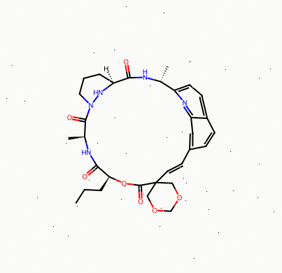 CCC[C@@H]1OC(=O)C2(/C=C/c3ccc4ccc(nc4c3)[C@@H](C)NC(=O)[C@@H]3CCCN(N3)C(=O)[C@H](C)NC1=O)COCOC2